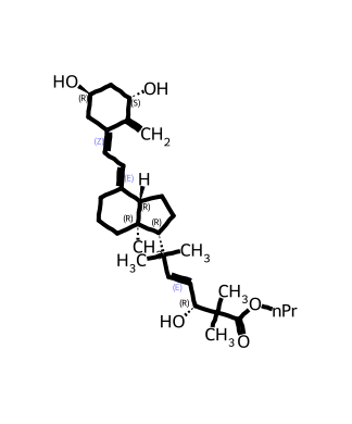 C=C1/C(=C\C=C2/CCC[C@]3(C)[C@@H](C(C)(C)/C=C/[C@@H](O)C(C)(C)C(=O)OCCC)CC[C@@H]23)C[C@@H](O)C[C@@H]1O